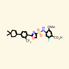 COc1cc(C(=O)O)c(F)cc1NS(=O)(=O)c1coc(-c2ccc(C3=CCC(C)(C)CC3)cc2C(F)(F)F)n1